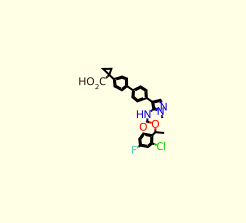 CC(OC(=O)Nc1c(-c2ccc(-c3ccc(C4(C(=O)O)CC4)cc3)cc2)cnn1C)c1ccc(F)cc1Cl